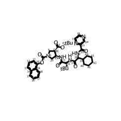 CC(C)(C)OC(=O)[C@@H]1CN(C(=O)Oc2cccc3ccccc23)C[C@@H]1NC(=O)[C@@H](NC(=O)[C@@H](NC(=O)c1cnccn1)C1CCCCC1)C(C)(C)C